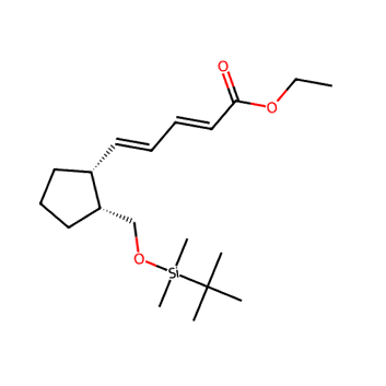 CCOC(=O)/C=C/C=C/[C@H]1CCC[C@H]1CO[Si](C)(C)C(C)(C)C